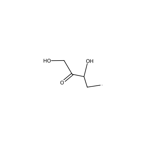 [CH2]CC(O)C(=O)CO